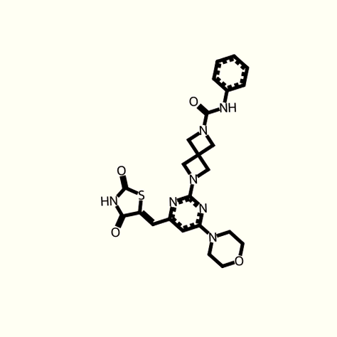 O=C1NC(=O)C(=Cc2cc(N3CCOCC3)nc(N3CC4(CN(C(=O)Nc5ccccc5)C4)C3)n2)S1